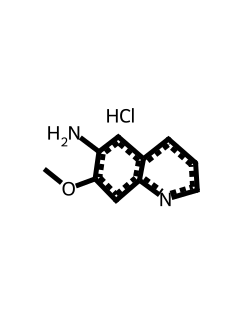 COc1cc2ncccc2cc1N.Cl